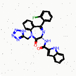 O=C(N[C@H]1N=C(c2ccccc2F)c2ccccc2N(Cc2nnn[nH]2)C1=O)c1cc2ccccc2[nH]1